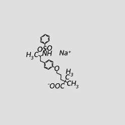 CC(Cc1ccc(OCCCC(C)(C)C(=O)[O-])cc1)NS(=O)(=O)c1ccccc1.[Na+]